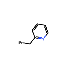 CC(C)Cc1ccc[c]n1